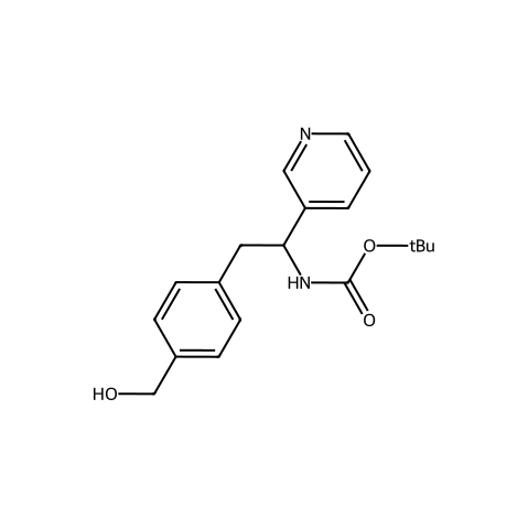 CC(C)(C)OC(=O)NC(Cc1ccc(CO)cc1)c1cccnc1